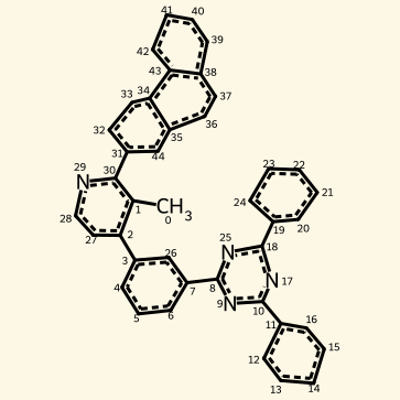 Cc1c(-c2cccc(-c3nc(-c4ccccc4)nc(-c4ccccc4)n3)c2)ccnc1-c1ccc2c(ccc3ccccc32)c1